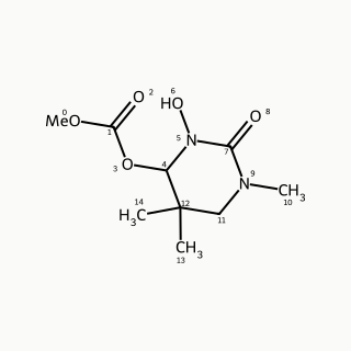 COC(=O)OC1N(O)C(=O)N(C)CC1(C)C